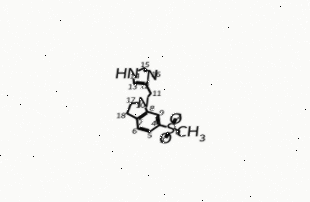 CS(=O)(=O)c1ccc2c(c1)N(Cc1c[nH]cn1)CC2